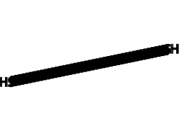 SSSSSSSSSSSSSSSSSSSSSSSSSSSSSSSSSSSSSSSSSSSSSSSSSSSSSSSSSSSSSSSSSSSSSSSSSSSSSSSSSSSSSS